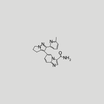 Cc1cccc(-c2nn3c(c2-c2ccc4ncc(C(N)=O)n4c2)CCC3)n1